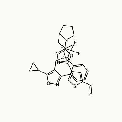 O=Cc1cc(-c2nnc(N3C4CCC3CC(OCc3c(-c5ccccc5OC(F)(F)F)noc3C3CC3)C4)o2)cs1